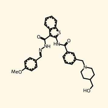 COc1ccc(/C=N/NC(=O)c2c(NC(=O)c3cccc(CN4CCC(CO)CC4)c3)sc3ccccc23)cc1